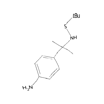 CC(C)(C)SNC(C)(C)c1ccc(N)cc1